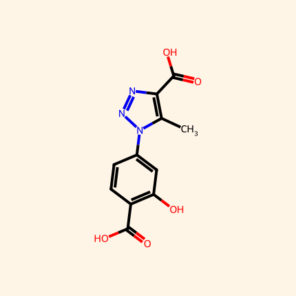 Cc1c(C(=O)O)nnn1-c1ccc(C(=O)O)c(O)c1